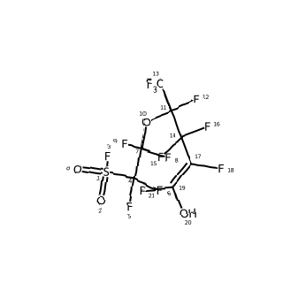 O=S(=O)(F)C(F)(F)C(F)(F)OC(F)(C(F)(F)F)C(F)(F)C(F)=C(O)F